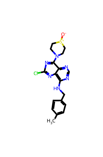 Cc1ccc(CNc2ncnc3c(N4CC[S+]([O-])CC4)nc(Cl)nc23)cc1